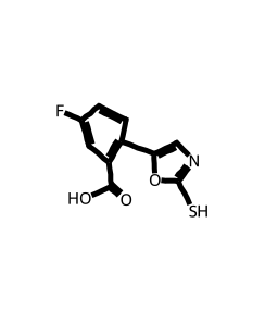 O=C(O)c1cc(F)ccc1-c1cnc(S)o1